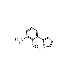 O=[N+]([O-])c1cccc(-c2cccs2)c1[N+](=O)[O-]